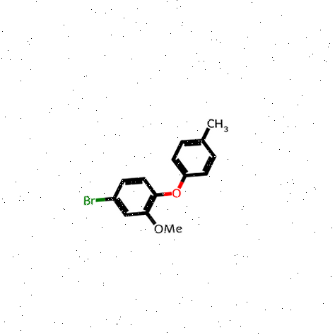 COc1cc(Br)ccc1Oc1ccc(C)cc1